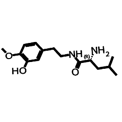 COc1ccc(CCNC(=O)[C@H](N)CC(C)C)cc1O